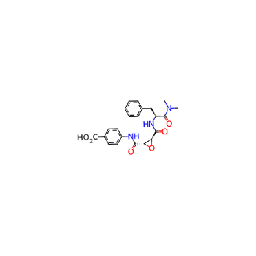 CN(C)C(=O)[C@H](Cc1ccccc1)NC(=O)[C@H]1O[C@@H]1C(=O)Nc1ccc(C(=O)O)cc1